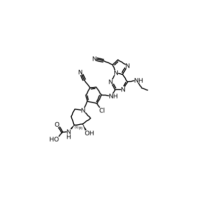 CCNc1nc(Nc2cc(C#N)cc(N3CC[C@H](NC(=O)O)[C@H](O)C3)c2Cl)nn2c(C#N)cnc12